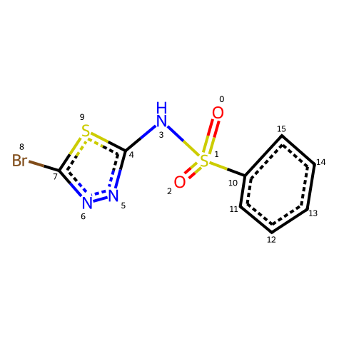 O=S(=O)(Nc1nnc(Br)s1)c1ccccc1